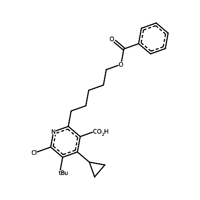 CC(C)(C)c1c(Cl)nc(CCCCCOC(=O)c2ccccc2)c(C(=O)O)c1C1CC1